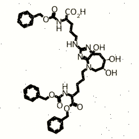 O=C(NC(CCCNC1=NC2(O)C[C@H](O)[C@H](O)CN(CCCCC(NC(=O)OCc3ccccc3)C(=O)OCc3ccccc3)C2=N1)C(=O)O)OCc1ccccc1